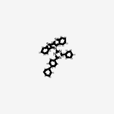 c1ccc(-c2ccc(-c3nc(-c4ccccc4)nc(-n4c5c6ccccc6sc5c5sc6ccccc6c54)n3)cc2)cc1